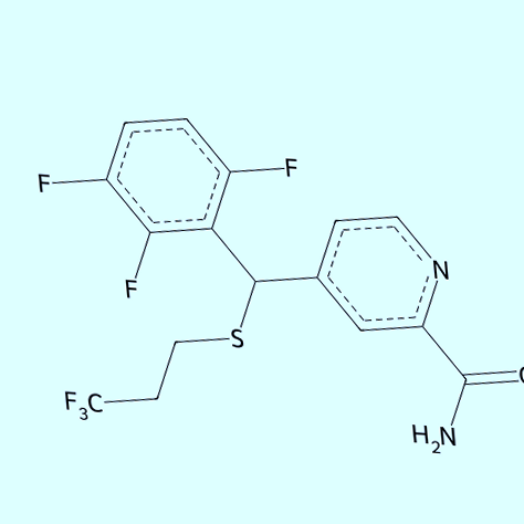 NC(=O)c1cc(C(SCCC(F)(F)F)c2c(F)ccc(F)c2F)ccn1